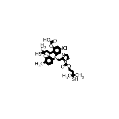 Cc1ccc(N(CC2=NCCN2C(=O)OCCC(C)(C)S)c2cccc(OC(=O)O)c2CCC(C)(C)S)cc1.Cl